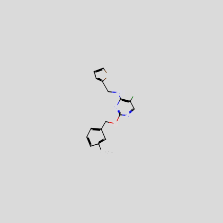 COc1cccc(COc2ncc(F)c(NCc3cccs3)n2)c1